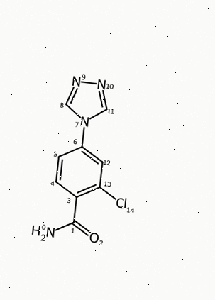 NC(=O)c1ccc(-n2cnnc2)cc1Cl